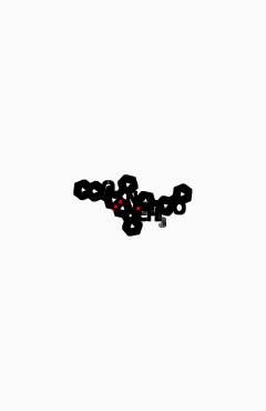 CC1(C)c2ccccc2-c2cccc(N(c3ccc(-c4ccc5oc6ccccc6c5c4)cc3)c3ccccc3-c3cccc4c3oc3cc5ccccc5cc34)c21